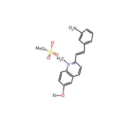 CCOc1ccc2c(ccc(C=Cc3cccc([N+](=O)[O-])c3)[n+]2C)c1.COS(=O)(=O)[O-]